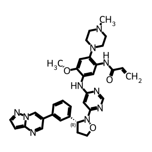 C=CC(=O)Nc1cc(Nc2cc(N3OCC[C@@H]3c3cccc(-c4cnc5ccnn5c4)c3)ncn2)c(OC)cc1N1CCN(C)CC1